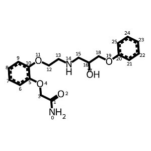 NC(=O)COc1ccccc1OCCNCC(O)COc1ccccc1